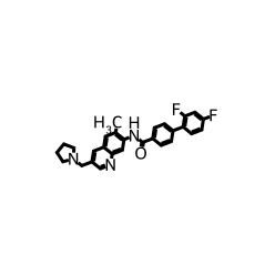 Cc1cc2cc(CN3CCCC3)cnc2cc1NC(=O)c1ccc(-c2ccc(F)cc2F)cc1